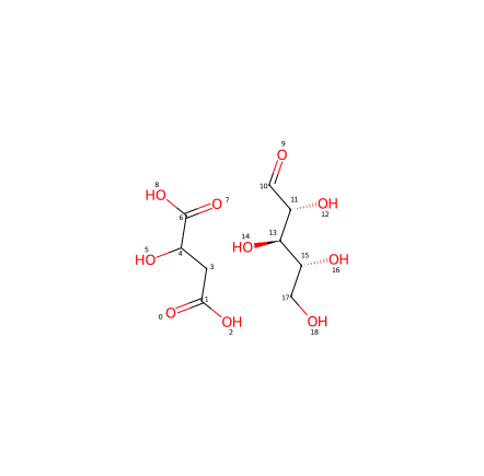 O=C(O)CC(O)C(=O)O.O=C[C@H](O)[C@H](O)[C@H](O)CO